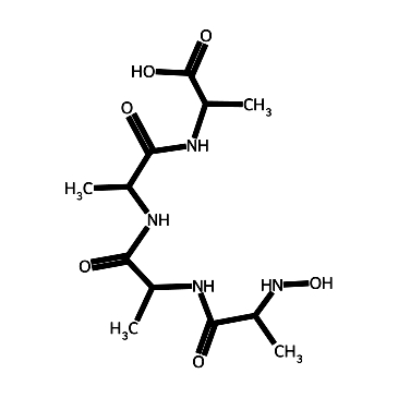 CC(NC(=O)C(C)NC(=O)C(C)NC(=O)C(C)NO)C(=O)O